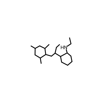 CCNC1CCCCC1C(CC)CC1C(C)CC(C)CC1C